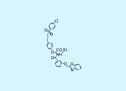 CCOC(=O)C(NC(=O)c1cccc(OCc2nc3ccccc3o2)c1)Oc1ccc(CCCS(=O)(=O)c2ccc(Cl)cc2)cc1